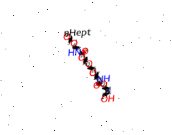 CCCCCCCOCCOCCNC(=O)OCCOCCOCCNC(=O)OC/C=C\CO